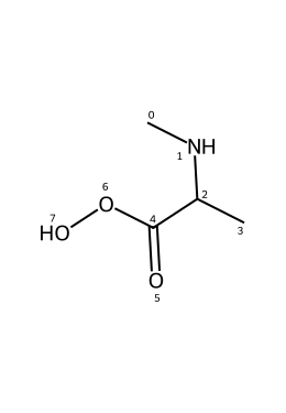 CNC(C)C(=O)OO